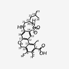 Cc1c(C(=O)O)c(F)c(F)c2c1-c1cc3c(cc1OC2)NC[C@@H](CC(C)C)NS3(=O)=O